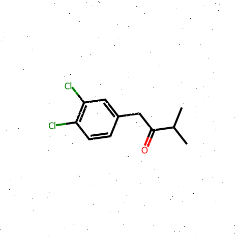 CC(C)C(=O)Cc1ccc(Cl)c(Cl)c1